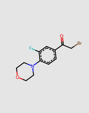 O=C(CBr)c1ccc(N2CCOCC2)c(F)c1